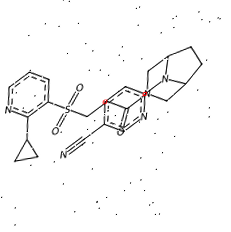 N#Cc1ccc(N2C3CCC2CN(C(=O)CCS(=O)(=O)c2cccnc2C2CC2)C3)nc1